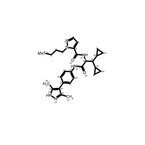 CSCCCn1nccc1C(=O)N[C@H](C(=O)Nc1ccc(-c2c(C)n[nH]c2C)cc1)C(C1CC1)C1CC1